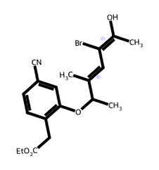 CCOC(=O)Cc1ccc(C#N)cc1OC(C)/C(C)=C/C(Br)=C(\C)O